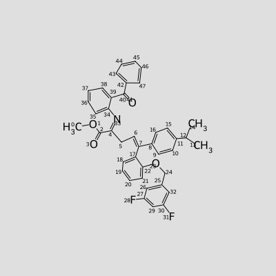 COC(=O)C(CC=C(c1ccc(C(C)C)cc1)c1ccccc1OCc1cc(F)cc(F)c1)=Nc1ccccc1C(=O)c1ccccc1